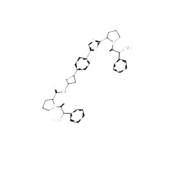 NC(C(=O)N1CCCC1C(=O)NC1CC(c2ccc(-c3c[nH]c(C4CCCN4C(=O)C(N)c4ccccc4)n3)cc2)C1)c1ccccc1